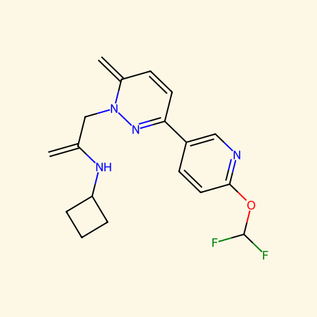 C=C(CN1N=C(c2ccc(OC(F)F)nc2)C=CC1=C)NC1CCC1